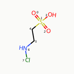 O=S(=O)(O)CCNCl